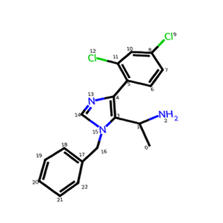 CC(N)c1c(-c2ccc(Cl)cc2Cl)ncn1Cc1ccccc1